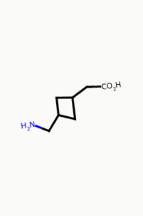 NCC1CC(CC(=O)O)C1